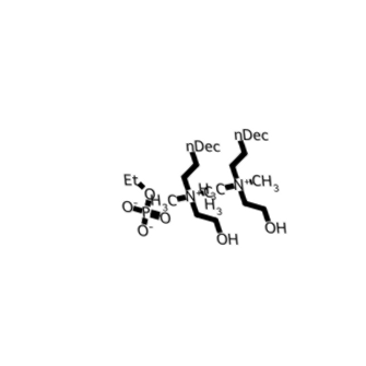 CCCCCCCCCCCC[N+](C)(C)CCO.CCCCCCCCCCCC[N+](C)(C)CCO.CCOP(=O)([O-])[O-]